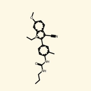 CCCNC(=O)Nc1ccc(-c2c(C#N)c3ccc(OC)cc3n2CC)cc1C